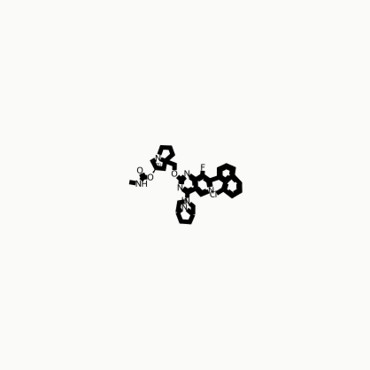 CNC(=O)O[C@@H]1CN2CCCC2(COc2nc(N3CC4CCC(C3)N4)c3cnc(-c4cccc5cccc(Cl)c45)c(F)c3n2)C1